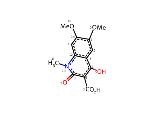 COc1cc2c(O)c(C(=O)O)c(=O)n(C)c2cc1OC